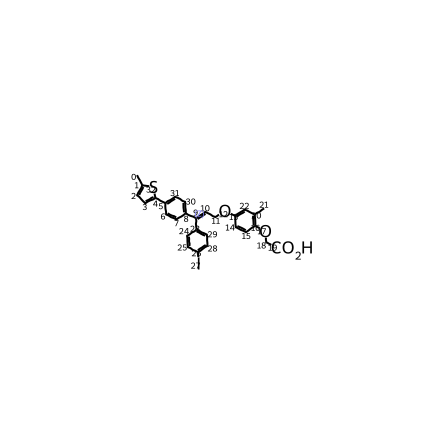 Cc1ccc(-c2ccc(/C(=C/COc3ccc(OCC(=O)O)c(C)c3)c3ccc(I)cc3)cc2)s1